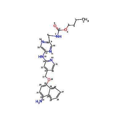 CCCCOC(=O)NCc1cnc(Nc2cc(COc3ccc(N)c4ccccc34)ccn2)cn1